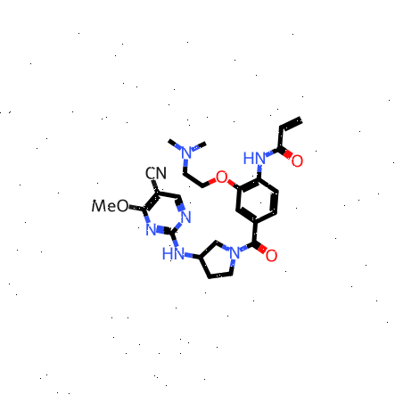 C=CC(=O)Nc1ccc(C(=O)N2CCC(Nc3ncc(C#N)c(OC)n3)C2)cc1OCCN(C)C